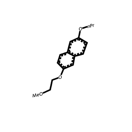 CCCOc1ccc2cc(OCCOC)ccc2c1